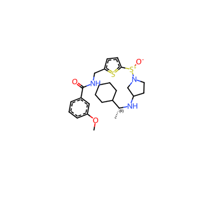 COc1cccc(C(=O)NCc2ccc([S+]([O-])N3CCC(N[C@H](C)C4CCCCC4)C3)s2)c1